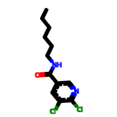 CCCCCCNC(=O)c1cnc(Cl)c(Cl)c1